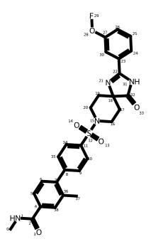 CNC(=O)c1ccc(-c2ccc(S(=O)(=O)N3CCC4(CC3)N=C(c3cccc(OF)c3)NC4=O)cc2)c(C)c1